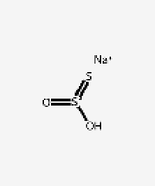 O=[S-](O)=S.[Na+]